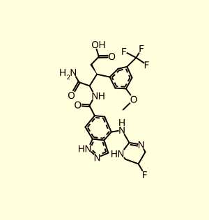 COc1cc([C@H](CC(=O)O)C(NC(=O)c2cc(NC3=NCC(F)CN3)c3cn[nH]c3c2)C(N)=O)cc(C(F)(F)F)c1